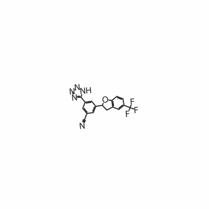 N#Cc1cc(-c2nnn[nH]2)cc(C2Cc3cc(C(F)(F)F)ccc3O2)c1